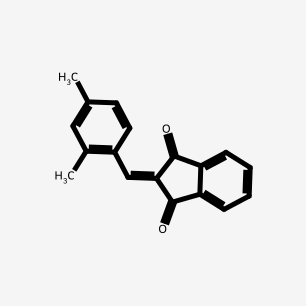 Cc1ccc(C=C2C(=O)c3ccccc3C2=O)c(C)c1